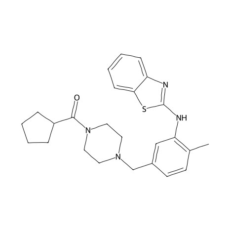 Cc1ccc(CN2CCN(C(=O)C3CCCC3)CC2)cc1Nc1nc2ccccc2s1